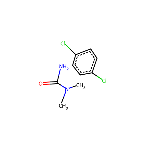 CN(C)C(N)=O.Clc1ccc(Cl)cc1